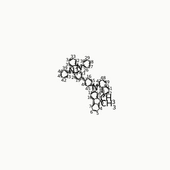 CC1(C)c2ccccc2-c2ccc(N(c3ccc(-c4ccc5c(c4)N(c4ccccc4)c4ccccc4N5c4ccccc4)cc3)c3cccc4ccccc34)cc21